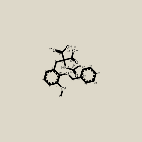 COc1cccc(CC(NC(C)=O)(C(=O)O)C(=O)O)c1OCc1ccccc1